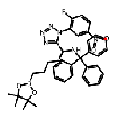 CC1(C)OB(CCCCC(NC(c2ccccc2)(c2ccccc2)c2ccccc2)c2nnnn2-c2cc([N+](=O)[O-])ccc2F)OC1(C)C